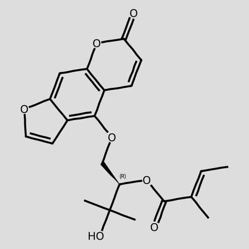 CC=C(C)C(=O)O[C@H](COc1c2ccoc2cc2oc(=O)ccc12)C(C)(C)O